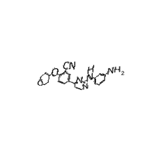 N#Cc1cc(-c2ccnc(Nc3cccc(N)c3)n2)ccc1OC1CCOCC1